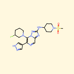 CS(=O)(=O)N1CCC(Nc2nc3cnc(-c4cn[nH]c4)c(N4CCC[C@H](F)C4)n3n2)CC1